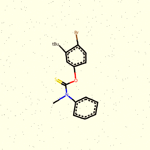 CN(C(=S)Oc1ccc(Br)c(C(C)(C)C)c1)c1ccccc1